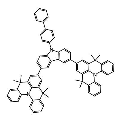 CC1(C)c2ccccc2N2c3ccccc3C(C)(C)c3cc(-c4ccc5c(c4)c4cc(-c6cc7c8c(c6)C(C)(C)c6ccccc6N8c6ccccc6C7(C)C)ccc4n5-c4ccc(-c5ccccc5)cc4)cc1c32